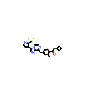 Cc1cc(Cc2nccn3c(C4=CCN=C4C(F)(F)F)cnc23)ccc1C(=O)C[C@H]1C[C@H](C)C1